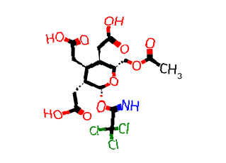 CC(=O)OC[C@@H]1O[C@H](OC(=N)C(Cl)(Cl)Cl)[C@H](CC(=O)O)[C@@H](CC(=O)O)[C@H]1CC(=O)O